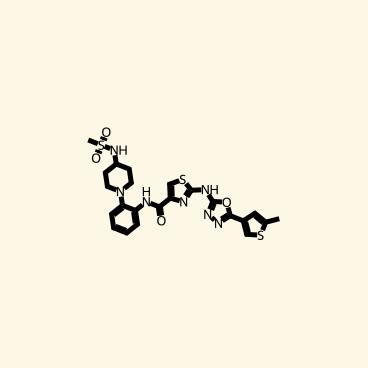 Cc1cc(-c2nnc(Nc3nc(C(=O)Nc4ccccc4N4CCC(NS(C)(=O)=O)CC4)cs3)o2)cs1